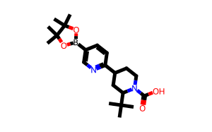 CC(C)(C)C1CC(c2ccc(B3OC(C)(C)C(C)(C)O3)cn2)CCN1C(=O)O